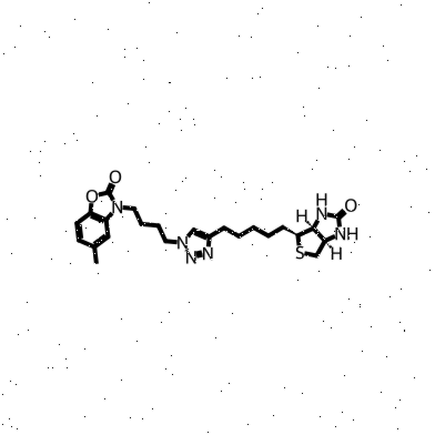 Cc1ccc2oc(=O)n(CCCCn3cc(CCCCC[C@@H]4SC[C@@H]5NC(=O)N[C@@H]54)nn3)c2c1